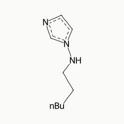 CCCCCCNn1ccnc1